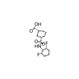 O=C(O)c1cccc(S(=O)(=O)Nc2c(F)cccc2F)c1